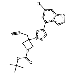 CC(C)(C)OC(=O)N1CC(CC#N)(n2cc(-c3nc(Cl)cn4nccc34)cn2)C1